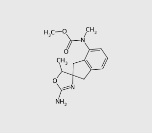 COC(=O)N(C)c1cccc2c1CC1(C2)N=C(N)OC1C